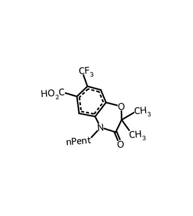 CCCCCN1C(=O)C(C)(C)Oc2cc(C(F)(F)F)c(C(=O)O)cc21